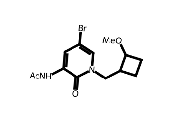 COC1CCC1Cn1cc(Br)cc(NC(C)=O)c1=O